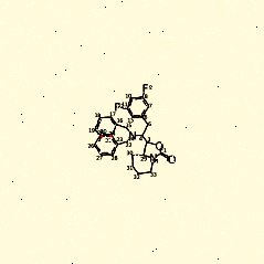 O=C1OC(C(Cc2cc(F)cc(F)c2)N(CC2=CC=CCC2)Cc2ccccc2)C2CCCCN12